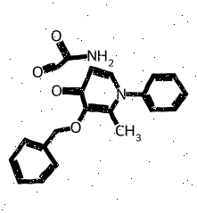 Cc1c(OCc2ccccc2)c(=O)ccn1-c1ccccc1.NC(=O)C=O